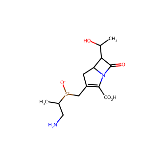 CC(O)C1C(=O)N2C(C(=O)O)=C(C[S+]([O-])C(C)CN)CC12